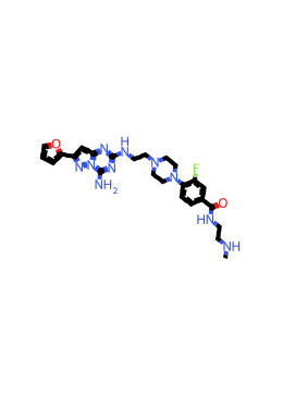 CNCCNC(=O)c1ccc(N2CCN(CCNc3nc(N)n4nc(-c5ccco5)cc4n3)CC2)c(F)c1